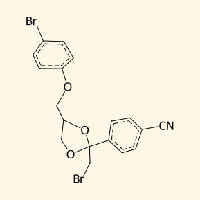 N#Cc1ccc(C2(CBr)OCC(COc3ccc(Br)cc3)O2)cc1